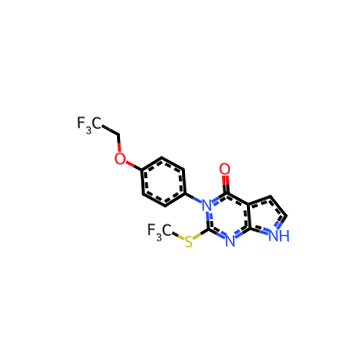 O=c1c2cc[nH]c2nc(SC(F)(F)F)n1-c1ccc(OCC(F)(F)F)cc1